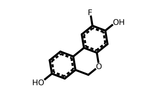 Oc1ccc2c(c1)COc1cc(O)c(F)cc1-2